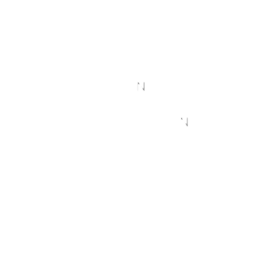 Cc1ccc2c(c1)ncn2C